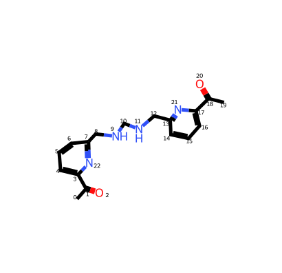 CC(=O)c1cccc(CNCNCc2cccc(C(C)=O)n2)n1